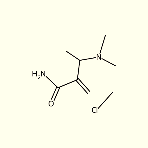 C=C(C(N)=O)C(C)N(C)C.CCl